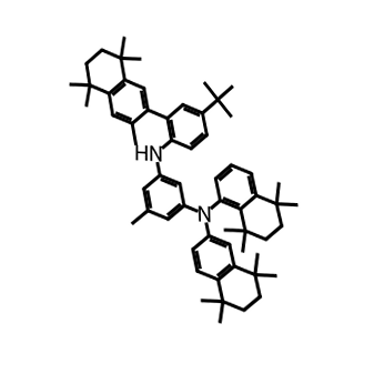 Cc1cc(Nc2ccc(C(C)(C)C)cc2-c2cc3c(cc2C)C(C)(C)CCC3(C)C)cc(N(c2ccc3c(c2)C(C)(C)CCC3(C)C)c2cccc3c2C(C)(C)CCC3(C)C)c1